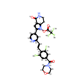 O=C1NCCc2c1cc(-c1ccnc(C=Cc3c(F)cc(C(=O)N4CCOCC4)cc3F)c1)n2OC(=O)C(F)(F)F